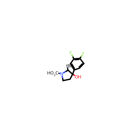 CC(C)(C)C1N(C(=O)O)CCC1(O)c1ccc(F)c(F)c1